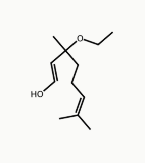 CCOC(C)(C=CO)CCC=C(C)C